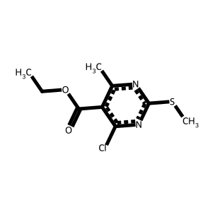 CCOC(=O)c1c(C)nc(SC)nc1Cl